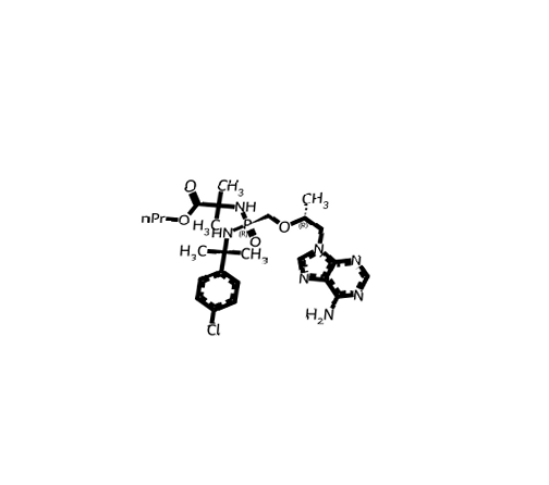 CCCOC(=O)C(C)(C)N[P@@](=O)(CO[C@H](C)Cn1cnc2c(N)ncnc21)NC(C)(C)c1ccc(Cl)cc1